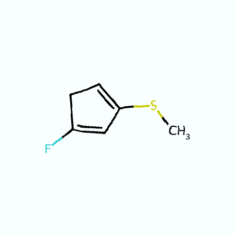 CSC1=CCC(F)=C1